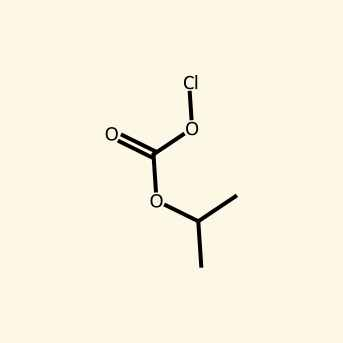 CC(C)OC(=O)OCl